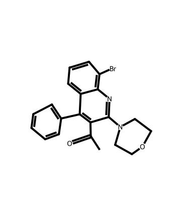 CC(=O)c1c(N2CCOCC2)nc2c(Br)cccc2c1-c1ccccc1